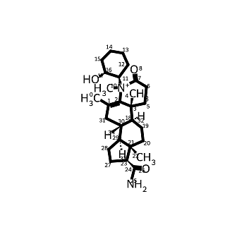 CC1=C2[C@](C)(CCC(=O)[N+]2(C)[C@@H]2CCCC[C@@H]2O)[C@H]2CC[C@]3(C)[C@@H](C(N)=O)CC[C@H]3[C@@H]2C1